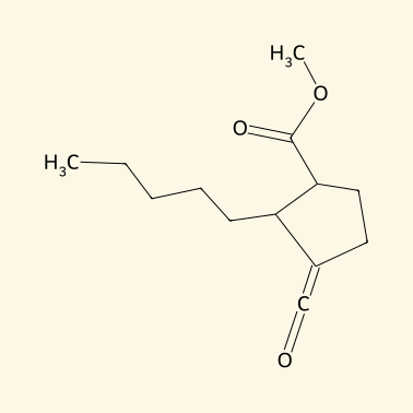 CCCCCC1C(=C=O)CCC1C(=O)OC